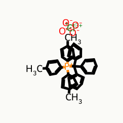 Cc1ccc([P+](c2ccc(C)cc2)(c2ccc(C)cc2)C(c2ccccc2)(c2ccccc2)c2ccccc2)cc1.[O-][Cl+3]([O-])([O-])[O-]